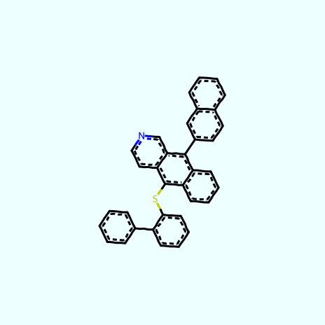 c1ccc(-c2ccccc2Sc2c3ccccc3c(-c3ccc4ccccc4c3)c3cnccc23)cc1